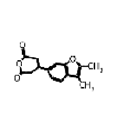 Cc1oc2cc(C3CC(=O)OC(=O)C3)ccc2c1C